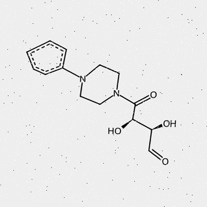 O=C[C@H](O)[C@@H](O)C(=O)N1CCN(c2ccccc2)CC1